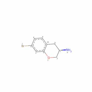 N[C@H]1COc2cc(Br)ccc2C1